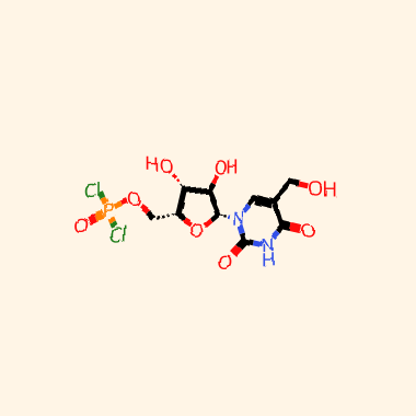 O=c1[nH]c(=O)n([C@@H]2O[C@H](COP(=O)(Cl)Cl)[C@H](O)C2O)cc1CO